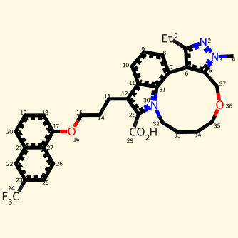 CCc1nn(C)c2c1-c1cccc3c(CCCOc4cccc5cc(C(F)(F)F)ccc45)c(C(=O)O)n(c13)CCCCOC2